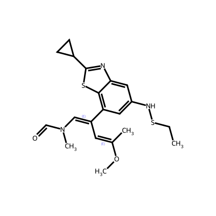 CCSNc1cc(C(/C=C(\C)OC)=C/N(C)C=O)c2sc(C3CC3)nc2c1